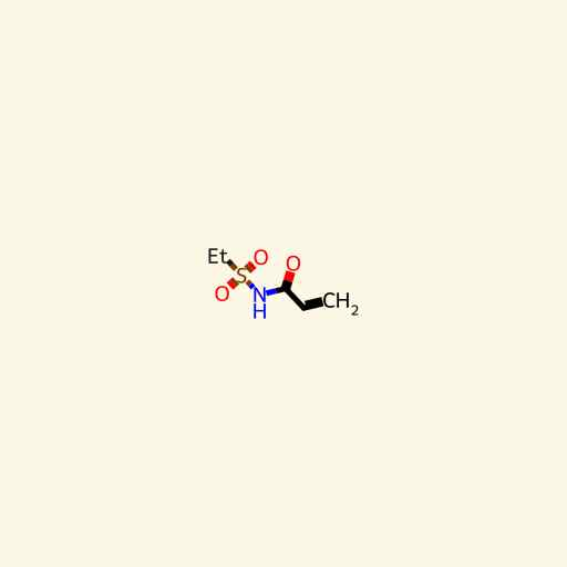 C=CC(=O)NS(=O)(=O)CC